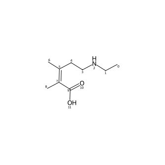 CCNCCC(C)=C(C)C(=O)O